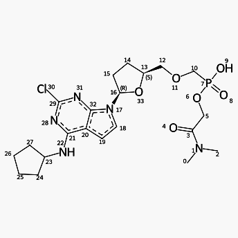 CN(C)C(=O)COP(=O)(O)COC[C@@H]1CC[C@H](n2ccc3c(NC4CCCC4)nc(Cl)nc32)O1